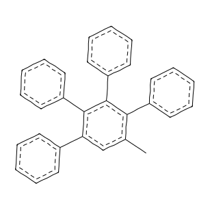 Cc1cc(-c2ccccc2)c(-c2ccccc2)c(-c2ccccc2)c1-c1ccccc1